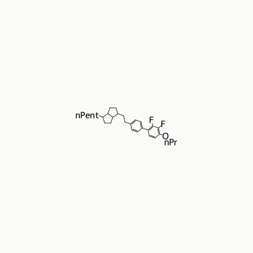 CCCCCC1CCC2C(CCc3ccc(-c4ccc(OCCC)c(F)c4F)cc3)CCC12